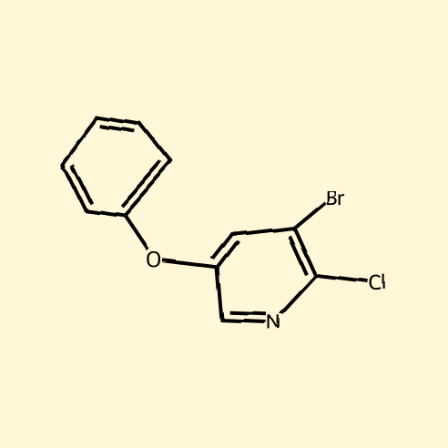 Clc1ncc(Oc2ccccc2)cc1Br